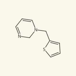 C1=CN(Cc2cccs2)CN=C1